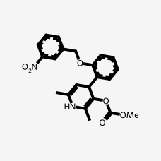 COC(=O)OC1=C(C)NC(C)=CC1c1ccccc1OCc1cccc([N+](=O)[O-])c1